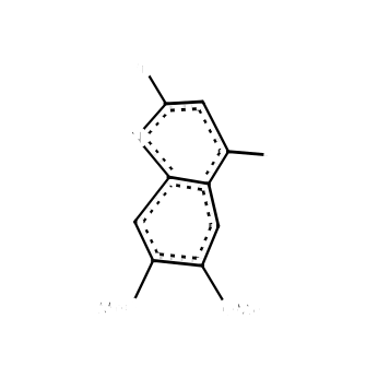 COc1cc2nc(Br)cc(Cl)c2cc1OC